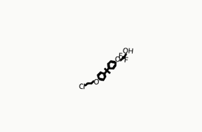 CC(C)(c1ccc(OCCCCl)cc1)c1ccc(OCC(F)(F)CO)cc1